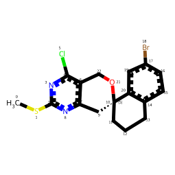 CSc1nc(Cl)c2c(n1)C[C@]1(CCCc3ccc(Br)cc31)OC2